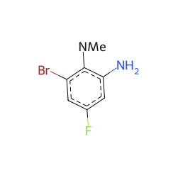 CNc1c(N)cc(F)cc1Br